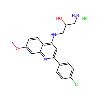 COc1ccc2c(NCC(O)CN)cc(-c3ccc(Cl)cc3)nc2c1.Cl